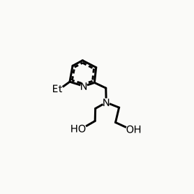 CCc1cccc(CN(CCO)CCO)n1